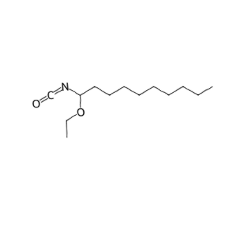 CCCCCCCCCC(N=C=O)OCC